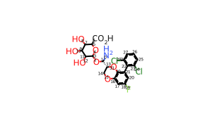 NC(OC1OC(C(=O)O)C(O)C(O)C1O)[C@H]1COc2cc(F)cc(-c3c(Cl)cccc3Cl)c2O1